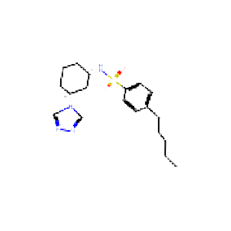 CCCCCc1ccc(S(=O)(=O)N[C@H]2CCC[C@@H](n3cnnc3)C2)cc1